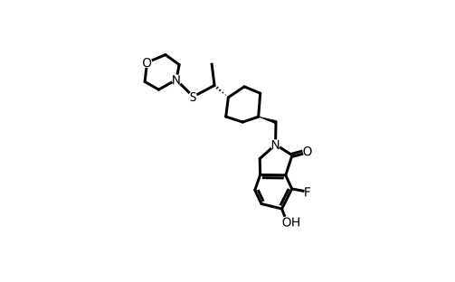 CC(SN1CCOCC1)[C@H]1CC[C@H](CN2Cc3ccc(O)c(F)c3C2=O)CC1